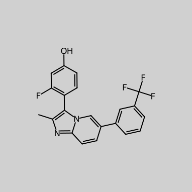 Cc1nc2ccc(-c3cccc(C(F)(F)F)c3)cn2c1-c1ccc(O)cc1F